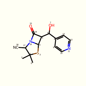 CC1(C)SC2C(C(O)c3ccncc3)C(=O)N2C1C#N